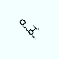 CCC(=O)c1cc(C)cc(CCCc2ccccc2)c1